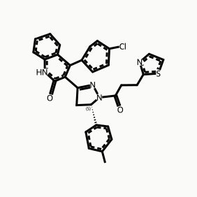 Cc1ccc([C@@H]2CC(c3c(-c4ccc(Cl)cc4)c4ccccc4[nH]c3=O)=NN2C(=O)CCc2nccs2)cc1